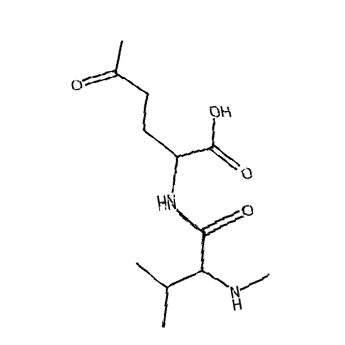 CNC(C(=O)NC(CCC(C)=O)C(=O)O)C(C)C